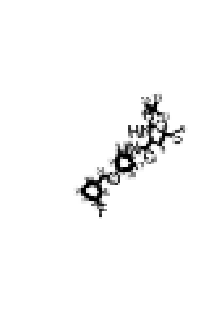 CSCC[C@H](NC(=O)OC(C)(C)C)C(=O)Nc1ccc(OCc2cccc(F)c2)cc1